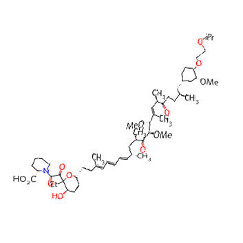 CCC1(C(=O)C(=O)N2CCCC[C@H]2C(=O)O)O[C@H](CC/C(C)=C/C=C/C=C/[C@@H](C)C[C@@H](C)C(=O)[C@H](OC)[C@H](OC)/C(C)=C/[C@@H](C)C(=O)CC[C@H](C)C[C@@H]2CC[C@@H](OCCOC(C)C)[C@H](OC)C2)CC[C@H]1O